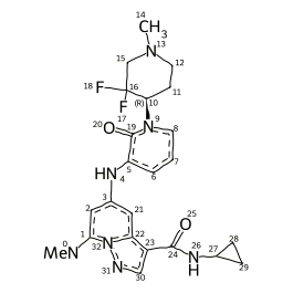 CNc1cc(Nc2cccn([C@@H]3CCN(C)CC3(F)F)c2=O)cc2c(C(=O)NC3CC3)cnn12